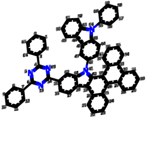 c1ccc(-c2nc(-c3ccccc3)nc(-c3ccc4c5c6ccccc6c6c7ccccc7c7ccccc7c6c5n(-c5ccc6c(c5)c5ccccc5n6-c5ccccc5)c4c3)n2)cc1